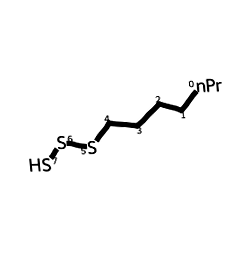 C[CH]CCCCCSSS